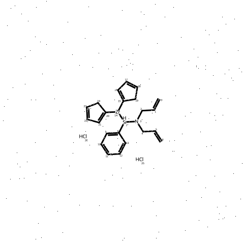 C=CCN(CC=C)[SiH](c1ccccc1)[Zr]([C]1=CC=CC1)[C]1=CC=CC1.Cl.Cl